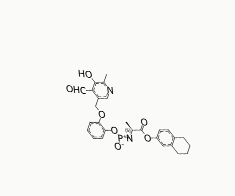 Cc1ncc(COc2ccccc2O[P+]([O-])=N[C@@H](C)C(=O)Oc2ccc3c(c2)CCCC3)c(C=O)c1O